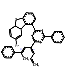 C=C/C=C(\C=C(/C)c1ccccc1)c1nc(-c2ccccc2)nc(-c2cccc3c2C2C=C(Br)C=CC2S3)n1